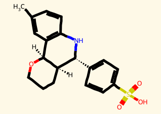 Cc1ccc2c(c1)[C@@H]1OCCC[C@@H]1[C@@H](c1ccc(S(=O)(=O)O)cc1)N2